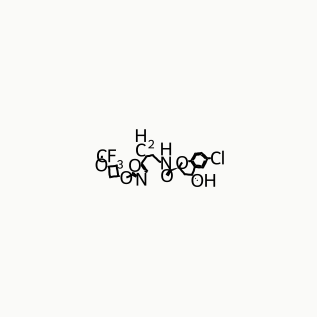 C=C(CCNC(=O)[C@@H]1C[C@@H](O)c2cc(Cl)ccc2O1)c1cnc(O[C@H]2C[C@@H](OC(F)(F)F)C2)o1